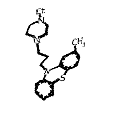 CCN1CCN(CCCN2c3ccccc3Sc3ccc(C)cc32)CC1